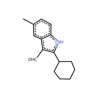 Cc1ccc2[nH]c(C3CCCCC3)c(C=O)c2c1